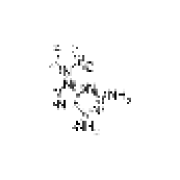 Nc1nc(N)c2ncn(N3CCCC3=O)c2n1